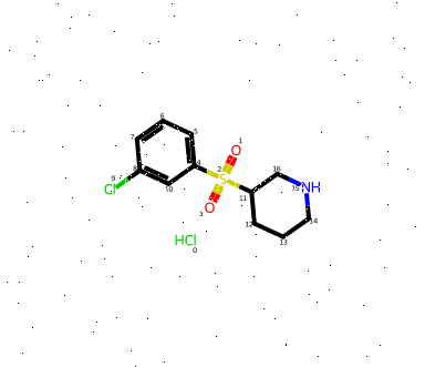 Cl.O=S(=O)(c1cccc(Cl)c1)C1CCCNC1